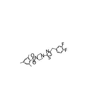 Cc1cc(C)c(S(=O)(=O)N2CCN(c3nc(Cc4ccc(F)c(F)c4)cs3)CC2)c(C)c1